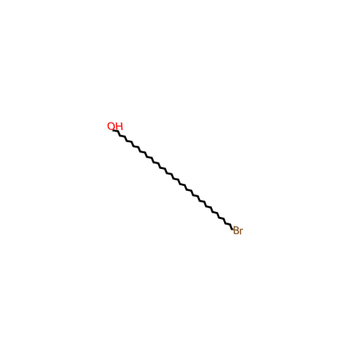 OCCCCCCCCCCCCCCCCCCCCCCCCCCCCCCCCCCCCCBr